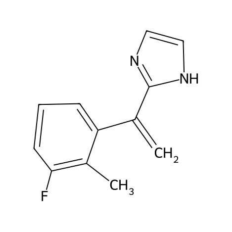 C=C(c1ncc[nH]1)c1cccc(F)c1C